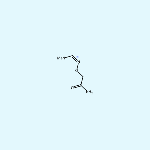 CN/C=N\OCC(N)=O